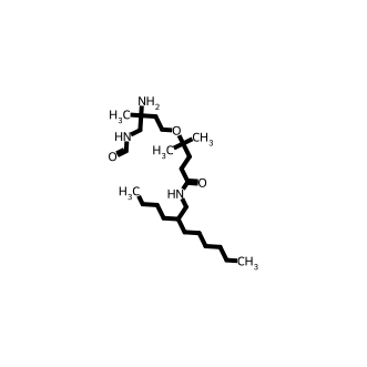 CCCCCCC(CCCC)CNC(=O)CCC(C)(C)OCCC(C)(N)CNC=O